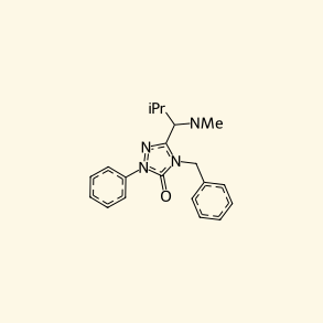 CNC(c1nn(-c2ccccc2)c(=O)n1Cc1ccccc1)C(C)C